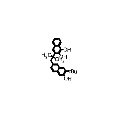 CC(C)(C)c1cc2cc(CC(C)(C)c3cc4ccccc4c(O)c3O)ccc2cc1O